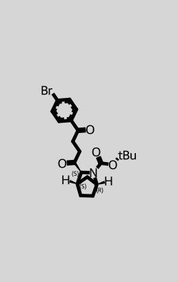 CC(C)(C)OC(=O)N1[C@@H]2CC[C@@H](C2)[C@H]1C(=O)CCC(=O)c1ccc(Br)cc1